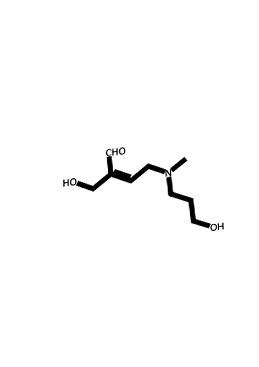 CN(C/C=C(\C=O)CO)CCCO